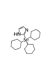 c1c[nH][c]([Sn]([CH]2CCCCC2)([CH]2CCCCC2)[CH]2CCCCC2)n1